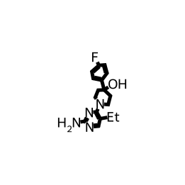 CCc1cnc(N)nc1N1CCC(O)(c2ccc(F)cc2)CC1